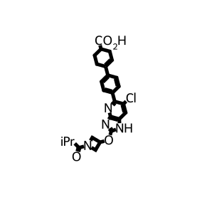 CC(C)C(=O)N1CC(Oc2nc3nc(-c4ccc(C5=CCC(C(=O)O)CC5)cc4)c(Cl)cc3[nH]2)C1